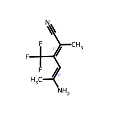 C/C(C#N)=C(\C=C(/C)N)C(F)(F)F